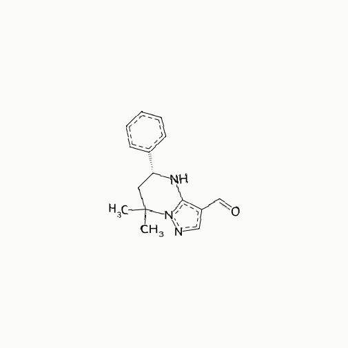 CC1(C)C[C@H](c2ccccc2)Nc2c(C=O)cnn21